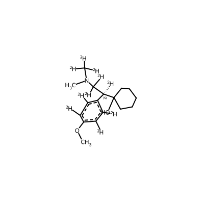 [2H]c1c([2H])c([C@]([2H])(C2(O)CCCCC2)C([2H])([2H])N(C)C([2H])([2H])[2H])c([2H])c([2H])c1OC